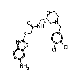 Nc1ccc2nc(SCC(=O)NC[C@H]3CN(Cc4ccc(Cl)c(Cl)c4)CCO3)sc2c1